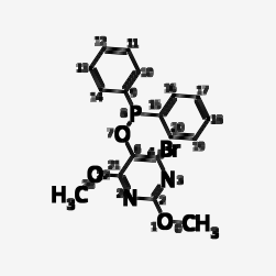 COc1nc(Br)c(OP(c2ccccc2)c2ccccc2)c(OC)n1